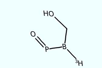 [3H]B(CO)P=O